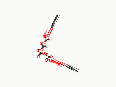 O.O.O.O.O.O.O.O.O.O.[K+].[K+].[K+].[K+].[K+].[K+].[K+].[K+].[K+].[K+].[K+].[K+].[O-]B([O-])[O-].[O-]B([O-])[O-].[O-]B([O-])[O-].[O-]B([O-])[O-]